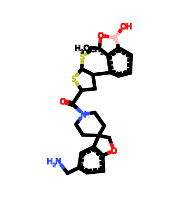 CSC1SC(C(=O)N2CCC3(CC2)COc2ccc(CN)cc23)CC1c1cccc2c1C(C)OB2O